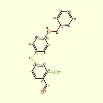 O=Cc1ccc(Sc2ccc(OCc3ccccc3)cc2)cc1Cl